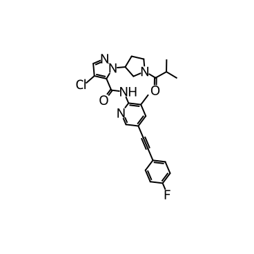 Cc1cc(C#Cc2ccc(F)cc2)cnc1NC(=O)c1c(Cl)cnn1C1CCN(C(=O)C(C)C)C1